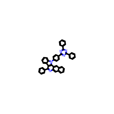 c1ccc(-c2nc(-c3ccccc3)nc(-c3ccc(-n4c5ccccc5c5c(-c6ccccc6)nc6cc7ccccc7cc6c54)cc3)n2)cc1